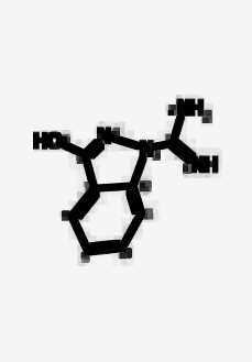 N=C(N)n1nc(O)c2ccccc21